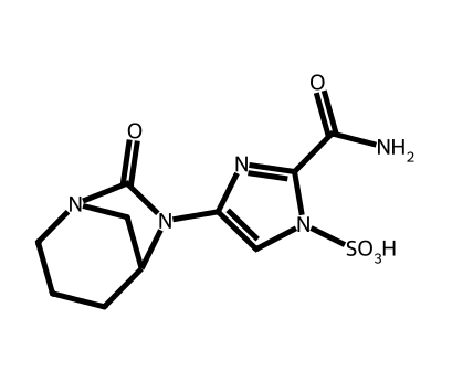 NC(=O)c1nc(N2C(=O)N3CCCC2C3)cn1S(=O)(=O)O